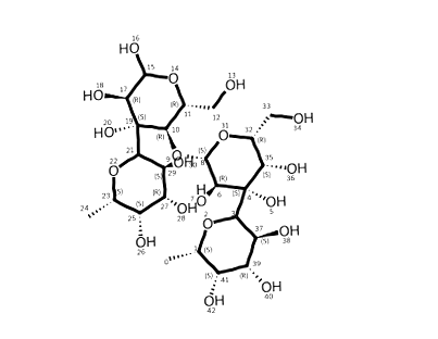 C[C@@H]1OC([C@@]2(O)[C@@H](O)[C@H](O[C@@H]3[C@@H](CO)OC(O)[C@H](O)[C@]3(O)C3O[C@@H](C)[C@@H](O)[C@@H](O)[C@@H]3O)O[C@H](CO)[C@@H]2O)[C@@H](O)[C@H](O)[C@@H]1O